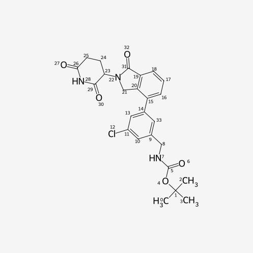 CC(C)(C)OC(=O)NCc1cc(Cl)cc(-c2cccc3c2CN(C2CCC(=O)NC2=O)C3=O)c1